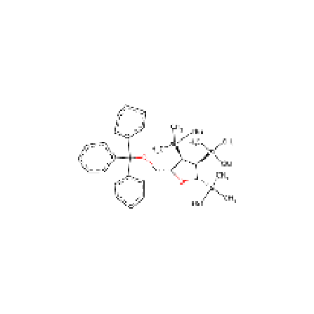 CC(C)(C)[Si](C)(C)[C@@H]1[C@H]([Si](C)(C)C(C)(C)C)[C@@H](COC(c2ccccc2)(c2ccccc2)c2ccccc2)O[C@H]1[Si](C)(C)C(C)(C)C